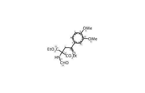 CCOC(=O)C(CC(=O)c1ccc(OC)c(OC)c1)(NC=O)C(=O)OCC